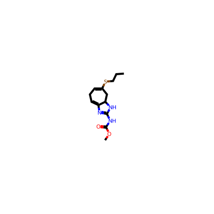 CCCSC1=CCC=C2N=C(NC(=O)OC)NC2C1